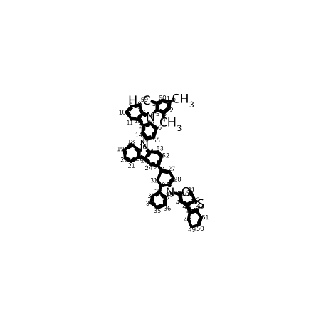 Cc1cc(C)c(-n2c3ccccc3c3cc(-n4c5ccccc5c5cc(C6=CC=C7C(C6)c6ccccc6N7c6ccc7sc8c(c7c6)CCC=C8)ccc54)ccc32)c(C)c1